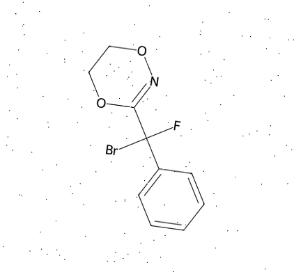 FC(Br)(C1=NOCCO1)c1ccccc1